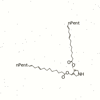 CCCCCC=CCC=CCCCCCCCC(=O)OC[C@@H]1CNC[C@H]1COC(=O)CCCCCCCC=CCC=CCCCCC